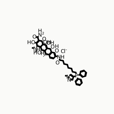 C[C@H]1c2ccc(NC(=O)CCCCCCC[P+](c3ccccc3)(c3ccccc3)c3cnn(C)c3)c(O)c2C(=O)C2=C(O)[C@]3(O)C(=O)C(C(N)=O)=C(O)[C@@H](N(C)C)[C@@H]3[C@@H](O)[C@@H]21.[Cl-]